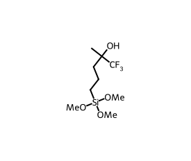 CO[Si](CCCC(C)(O)C(F)(F)F)(OC)OC